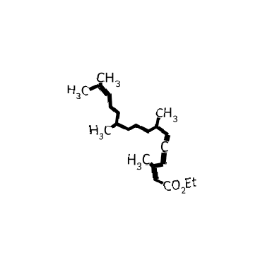 CCOC(=O)C=C(C)C=C=CC(C)CCCC(C)CCC=C(C)C